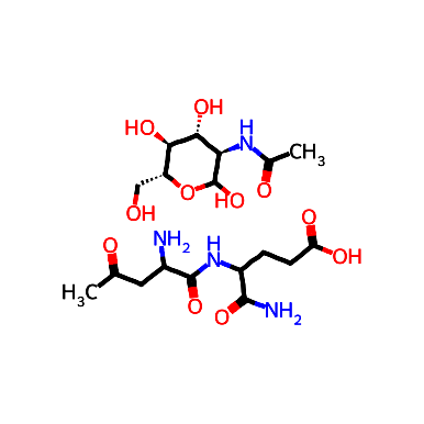 CC(=O)CC(N)C(=O)NC(CCC(=O)O)C(N)=O.CC(=O)N[C@H]1C(O)O[C@H](CO)[C@@H](O)[C@@H]1O